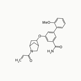 C=CC(=O)N1CC2CC1CC2Oc1cc(C(N)=O)cc(-c2ccccc2OC)c1